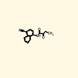 CCC(=O)C(=O)Nc1ccc(C#N)c2ccccc12